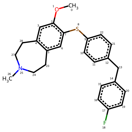 COc1cc2c(cc1Sc1ccc(Cc3ccc(F)cc3)cc1)CCN(C)CC2